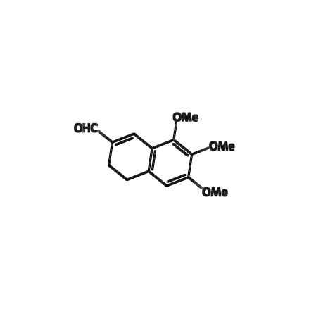 COc1cc2c(c(OC)c1OC)C=C(C=O)CC2